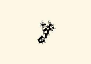 CN1C2CCC1CN(Cc1cc3c4ncnc(F)c4n(CC(F)(F)F)c3cn1)C2